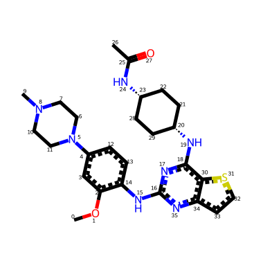 COc1cc(N2CCN(C)CC2)ccc1Nc1nc(N[C@H]2CC[C@@H](NC(C)=O)CC2)c2sccc2n1